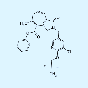 CC1=C(C(=O)Oc2ccccc2)C2=C(C=CC1)C(=O)N(Cc1cnc(OCC(C)(F)F)c(Cl)c1)C2